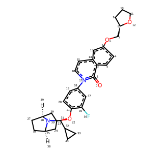 O=c1c2ccc(OC[C@H]3CCCO3)cc2ccn1-c1ccc(O[C@H]2C[C@H]3CC[C@@H](C2)N3CC2CC2)c(F)c1